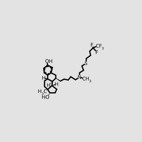 CN(CCCCC[C@@H]1Cc2cc(O)ccc2[C@H]2CC[C@]3(C)[C@@H](O)CC[C@H]3[C@H]12)CCCSCCCC(F)(F)C(F)(F)F